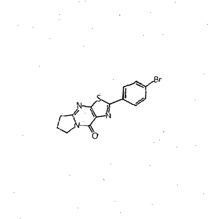 O=c1c2nc(-c3ccc(Br)cc3)sc2nc2n1CCC2